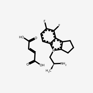 C[C@H](N)Cn1c2c(c3c(F)c(F)ccc31)CCC2.O=C(O)C=CC(=O)O